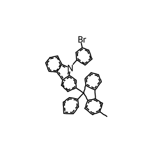 Cc1ccc2c(c1)-c1ccccc1C2(c1ccccc1)c1ccc2c3ccccc3n(-c3cccc(Br)c3)c2c1